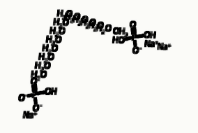 O.O.O.O.O.O.O.O.O.O.O.O.O.O.O=P([O-])(O)O.O=P([O-])([O-])O.[Na+].[Na+].[Na+]